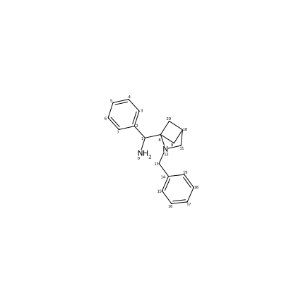 NC(c1ccccc1)C12CC(CN1Cc1ccccc1)C2